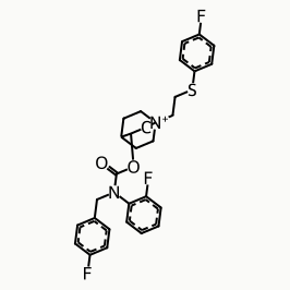 O=C(OC1C[N+]2(CCSc3ccc(F)cc3)CCC1CC2)N(Cc1ccc(F)cc1)c1ccccc1F